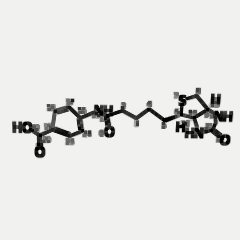 O=C(CCCC[C@H]1SC[C@H]2NC(=O)N[C@H]21)Nc1ccc(C(=O)O)cc1